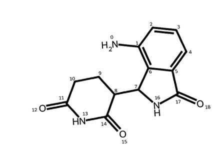 Nc1cccc2c1C(C1CCC(=O)NC1=O)NC2=O